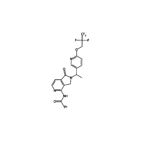 CC(C)C(=O)Nc1nccc2c1CN(C(C)c1ccc(OCC(F)(F)C(F)(F)F)nc1)C2=O